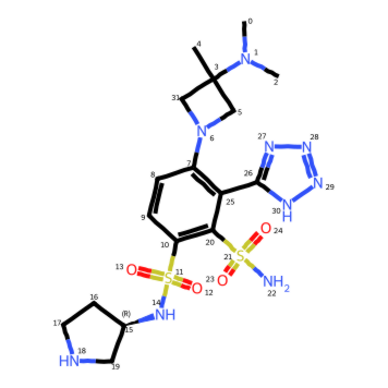 CN(C)C1(C)CN(c2ccc(S(=O)(=O)N[C@@H]3CCNC3)c(S(N)(=O)=O)c2-c2nnn[nH]2)C1